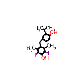 Cc1c(I)c(O)c(I)c(C)c1Cc1ccc(O)c(C(C)C)c1